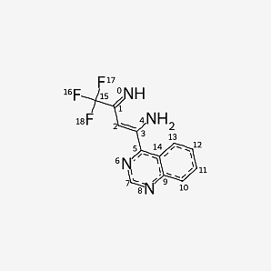 N=C(/C=C(\N)c1ncnc2ccccc12)C(F)(F)F